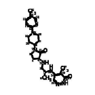 C[C@@H](CN[C@@H]1CCN(C2CCN(c3ncc(C(F)(F)F)cn3)CC2)C1=O)Nc1cn[nH]c(=O)c1C(F)(F)F